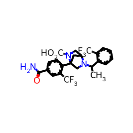 CC(c1ccccc1C(F)(F)F)N1CC2(c3ccc(C(N)=O)cc3C(F)(F)F)CC1CN2C(=O)O